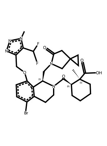 Cn1nnc(COc2ccc(Br)c3c2[C@@H](CN2CC4(CC4)CC2=O)N(C(=O)[C@@H]2CCCC[C@]2(C)C(=O)O)CC3)c1C(F)F